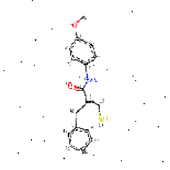 COc1ccc(NC(=O)C(CS)Cc2ccccc2)cc1